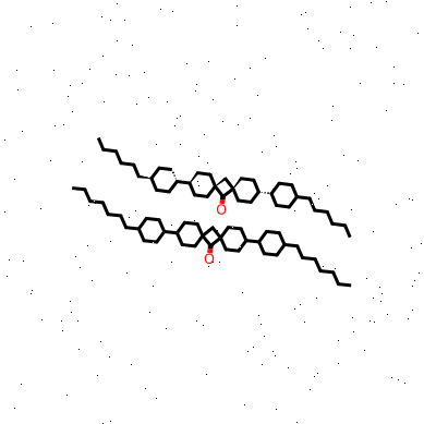 CCCCCCC1CCC([C@H]2CC[C@]3(CC2)C[C@@]2(CC[C@H]([C@H]4CC[C@H](CCCCCC)CC4)CC2)C3=O)CC1.CCCCCCCC1CCC(C2CCC3(CC2)CC2(CCC(C4CCC(CCCCCCC)CC4)CC2)C3=O)CC1